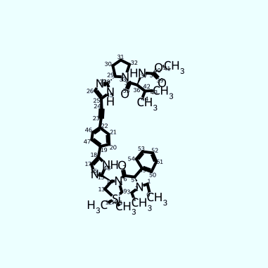 CCN(CC)[C@H](C(=O)N1C[Si](C)(C)C[C@H]1c1ncc(-c2ccc(C#Cc3cnc([C@@H]4CCCN4C(=O)[C@@H](NC(=O)OC)C(C)C)[nH]3)cc2)[nH]1)c1ccccc1